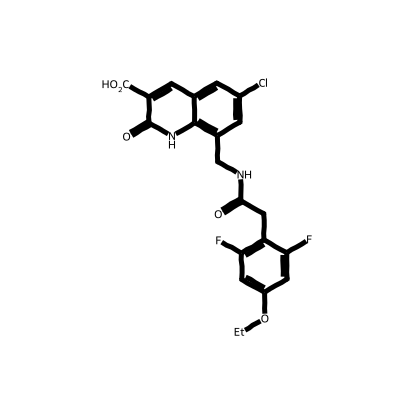 CCOc1cc(F)c(CC(=O)NCc2cc(Cl)cc3cc(C(=O)O)c(=O)[nH]c23)c(F)c1